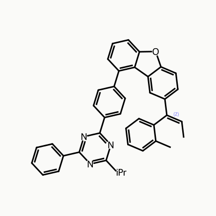 C/C=C(/c1ccc2oc3cccc(-c4ccc(-c5nc(-c6ccccc6)nc(C(C)C)n5)cc4)c3c2c1)c1ccccc1C